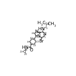 CC(C)CNc1ncc(Br)n2c(-c3ccc(C(=O)NC4CC4)cc3)cnc12